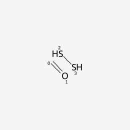 C=O.SS